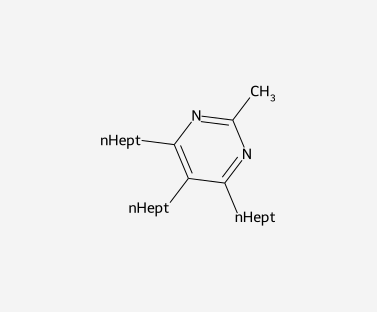 CCCCCCCc1nc(C)nc(CCCCCCC)c1CCCCCCC